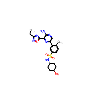 CCc1noc(-c2nc(-c3cc(S(=O)(=O)N[C@H]4CC[C@H](O)CC4)ccc3C)cnc2N)n1